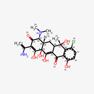 C=C(N)C1=C(O)[C@@]2(O)C(O)=C3C(=O)c4c(O)ccc(Cl)c4[C@@](C)(O)C3C[C@H]2[C@H](N(C)C)C1=O